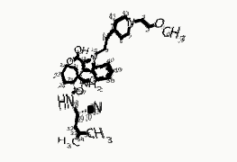 COCCN1CCC(CCCn2c(C(=O)O)c([C@]3(C(N)=O)CCCC[C@H]3C(=O)N[C@H](C#N)CC(C)C)c3ccccc32)CC1